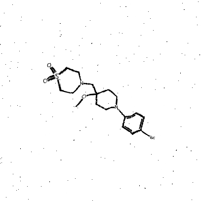 COC1(CN2CCS(=O)(=O)CC2)CCN(c2ccc(Br)cc2)CC1